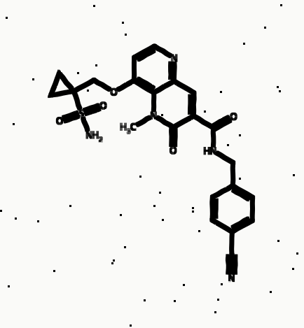 Cn1c(=O)c(C(=O)NCc2ccc(C#N)cc2)cc2nccc(OCC3(S(N)(=O)=O)CC3)c21